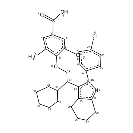 Cc1cc(C(=O)O)cc(C)c1OCC(c1c2c(nn1-c1ccc(Cl)cc1)CCCC2)C1CCCCC1